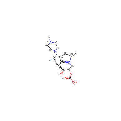 CC1CN(c2c(F)cc3c(=O)c(OC(=O)O)cn4c3c2CC4C)CCN1C